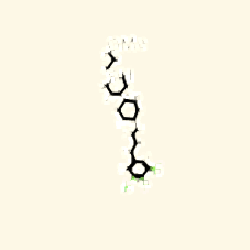 COCCC[SiH]1CCC([C@H]2CC[C@H](CCCCc3cc(F)c(F)c(F)c3)CC2)CC1